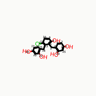 Oc1ccc(Cc2c(O)ccc(Cl)c2Cc2ccc(O)cc2O)c(O)c1